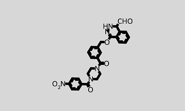 O=CC1NN=C(OCc2cccc(C(=O)N3CCN(C(=O)c4ccc([N+](=O)[O-])cc4)CC3)c2)c2ccccc21